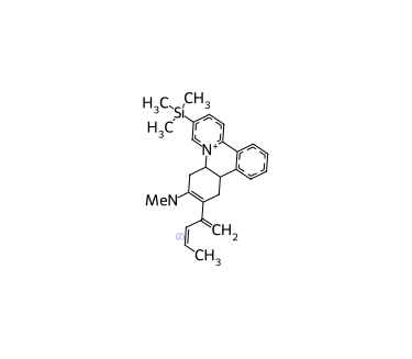 C=C(/C=C\C)C1=C(NC)CC2C(C1)c1ccccc1-c1ccc([Si](C)(C)C)c[n+]12